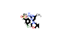 Cc1cc(N2CC3(CC3)COC[C@@H]2c2ccc(CS(C)(=O)=O)cc2Cl)nc(N)n1